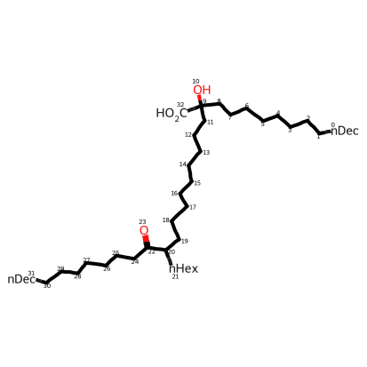 CCCCCCCCCCCCCCCCCCC(O)(CCCCCCCCCC(CCCCCC)C(=O)CCCCCCCCCCCCCCCCC)C(=O)O